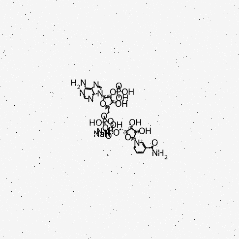 NC(=O)c1ccc[n+]([C@@H]2O[C@H](COP(=O)(O)OP(=O)(O)OC[C@H]3O[C@@H](n4cnc5c(N)ncnc54)[C@H](OP(=O)(O)O)[C@@H]3O)[C@@H](O)[C@H]2O)c1.[NaH].[NaH]